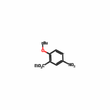 CCCCOc1c[c]c([N+](=O)[O-])cc1C(=O)OCC